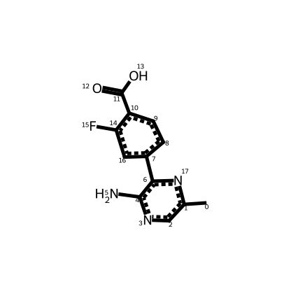 Cc1cnc(N)c(-c2ccc(C(=O)O)c(F)c2)n1